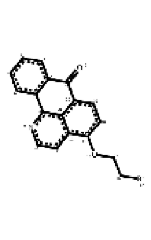 O=C1c2ccccc2-c2nccc3c(OCCBr)ccc1c23